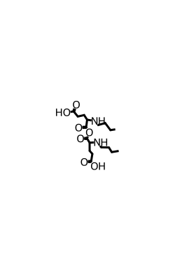 CCCCNC(CCC(=O)O)C(=O)OC(=O)C(CCC(=O)O)NCCCC